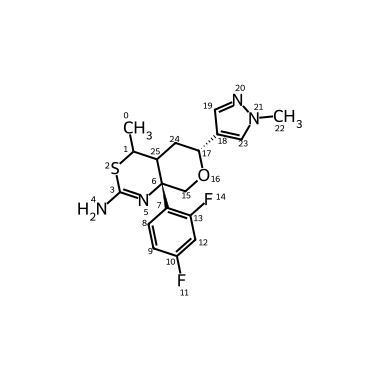 CC1SC(N)=N[C@@]2(c3ccc(F)cc3F)CO[C@@H](c3cnn(C)c3)CC12